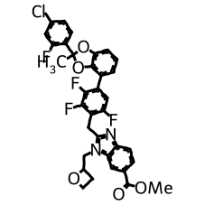 COC(=O)c1ccc2nc(Cc3c(F)cc(-c4cccc5c4OC(C)(c4ccc(Cl)cc4F)O5)c(F)c3F)n(CC3CCO3)c2c1